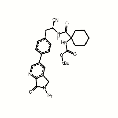 CC(C)N1Cc2cc(-c3ccc(C[C@@H](C#N)NC(=O)C4(NC(=O)OC(C)(C)C)CCCCC4)cc3)cnc2C1=O